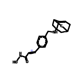 O=C(/C=C/c1ccc(CNC23CC4CC=C2C(C4)C3)cc1)NO